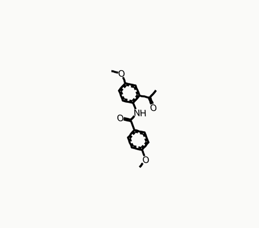 COc1ccc(C(=O)Nc2ccc(OC)cc2C(C)=O)cc1